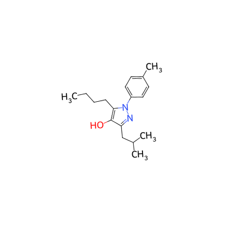 CCCCc1c(O)c(CC(C)C)nn1-c1ccc(C)cc1